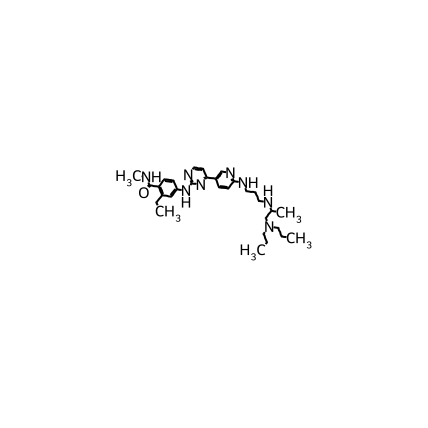 CCCN(CCC)CC(C)NCCCNc1ccc(-c2ccnc(Nc3ccc(C(=O)NC)c(CC)c3)n2)cn1